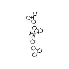 c1ccc(-c2cc(-c3ccc4c(c3)c3ccccc3n4-c3ccccc3)ccc2Nc2nccc(-c3ccc(-c4ccc5c6ccccc6c6ccccc6c5c4)cc3)n2)cc1